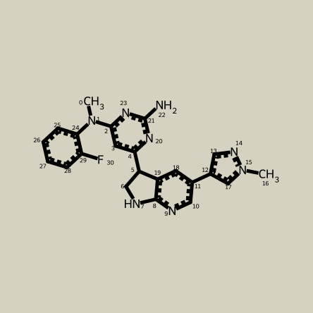 CN(c1cc(C2CNc3ncc(-c4cnn(C)c4)cc32)nc(N)n1)c1ccccc1F